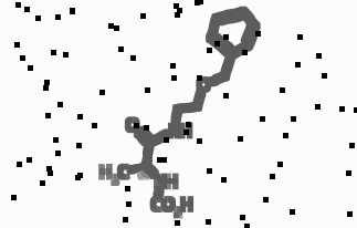 C[C@H](NC(=O)O)C(=O)NCCOCc1ccccc1